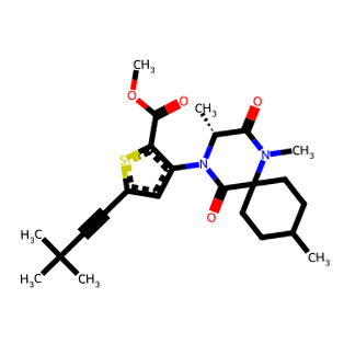 COC(=O)c1sc(C#CC(C)(C)C)cc1N1C(=O)C2(CCC(C)CC2)N(C)C(=O)[C@H]1C